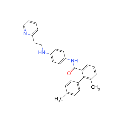 Cc1ccc(-c2c(C)cccc2C(=O)Nc2ccc(NCCc3ccccn3)cc2)cc1